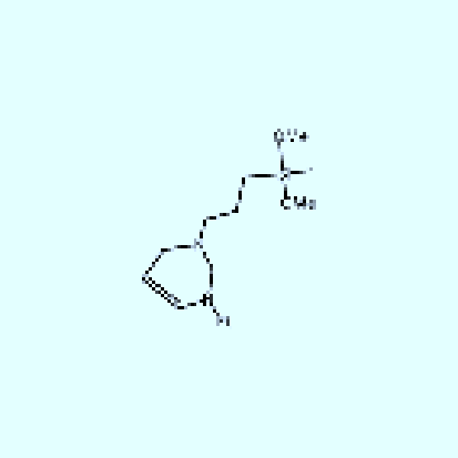 CCN1C=CCN(CCC[Si](C)(OC)OC)C1